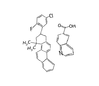 CC1(C)CC(c2cc(Cl)ccc2F)Cc2ccc3c(ccc4ccccc43)c21.O=C(O)c1ccc2ncccc2c1